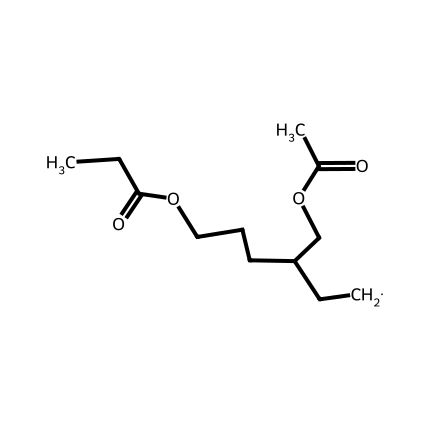 [CH2]CC(CCCOC(=O)CC)COC(C)=O